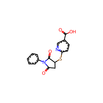 O=C(O)c1ccc(SC2CC(=O)N(c3ccccc3)C2=O)nc1